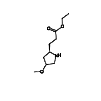 CCOC(=O)CC[C@@H]1CC(OC)CN1